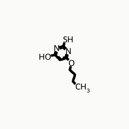 CCCCOc1cc(O)nc(S)n1